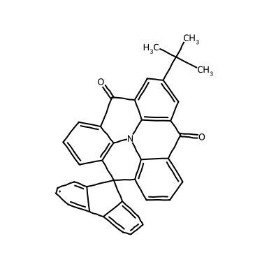 CC(C)(C)c1cc2c(=O)c3cccc4c3n3c5c(cccc5c(=O)c(c1)c23)C41c2ccccc2-c2ccccc21